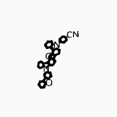 N#Cc1ccc(-n2c3ccccc3c3c4oc5c(ccc6c5c5ccccc5n6-c5ccc6oc7ccccc7c6c5)c4ccc32)cc1